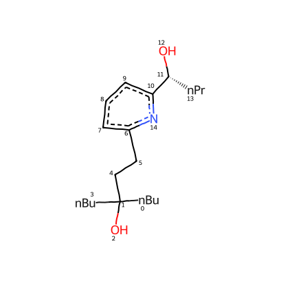 CCCCC(O)(CCCC)CCc1cccc([C@H](O)CCC)n1